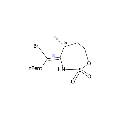 CCCCC/C(Br)=C1\NS(=O)(=O)OCC[C@H]1C